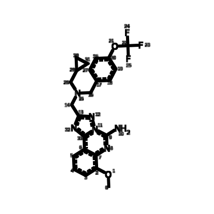 COc1cccc2c1nc(N)n1nc(CN(Cc3ccc(OC(F)(F)F)cc3)CC3CC3)nc21